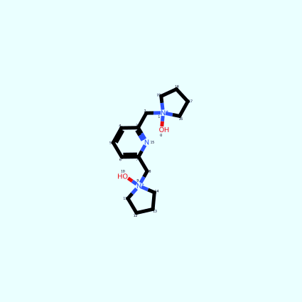 O[N+]1(Cc2cccc(C[N+]3(O)CCCC3)n2)CCCC1